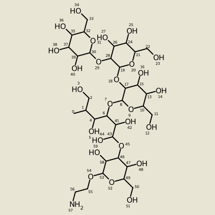 CC(CO)C(O)C(OC1OC(CO)C(O)C(O)C1OC1OC(CO)C(O)C(O)C1OC1OC(CO)C(O)C(O)C1O)C(O)C(O)OC1C(O)C(CO)OC(OCCN)C1O